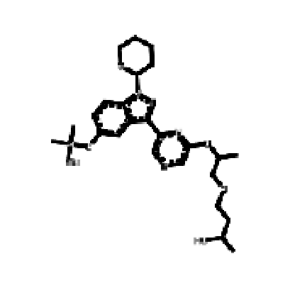 CC(O)CCOCC(C)Oc1cncc(-c2nn(C3CCCCO3)c3ccc(O[Si](C)(C)C(C)(C)C)cc23)n1